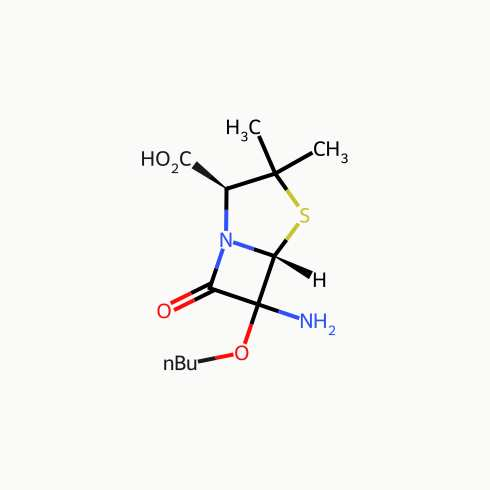 CCCCOC1(N)C(=O)N2[C@@H](C(=O)O)C(C)(C)S[C@@H]21